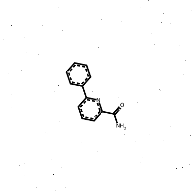 NC(=O)c1cccc(-c2ccccc2)n1